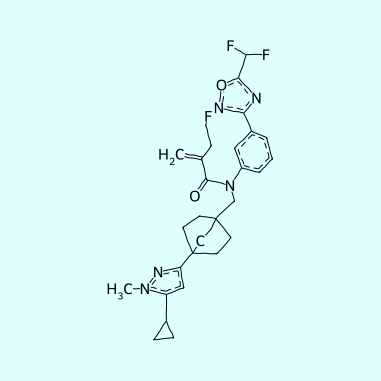 C=C(CCF)C(=O)N(CC12CCC(c3cc(C4CC4)n(C)n3)(CC1)CC2)c1cccc(-c2noc(C(F)F)n2)c1